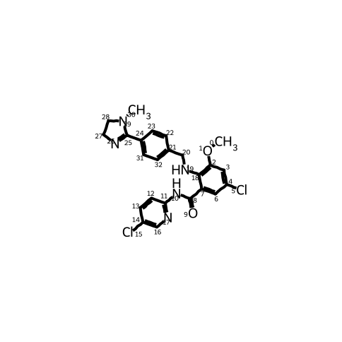 COc1cc(Cl)cc(C(=O)Nc2ccc(Cl)cn2)c1NCc1ccc(C2=NCCN2C)cc1